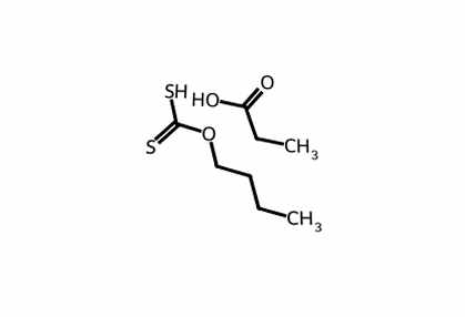 CCC(=O)O.CCCCOC(=S)S